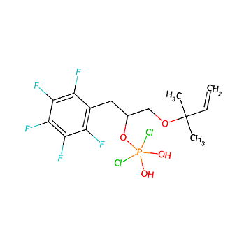 C=CC(C)(C)OCC(Cc1c(F)c(F)c(F)c(F)c1F)OP(O)(O)(Cl)Cl